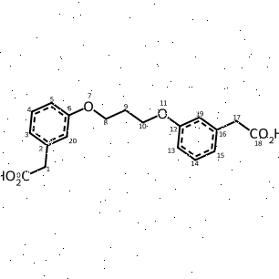 O=C(O)Cc1cccc(OCCCOc2cccc(CC(=O)O)c2)c1